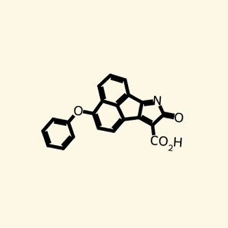 O=C(O)C1=C2C(=NC1=O)c1cccc3c(Oc4ccccc4)ccc2c13